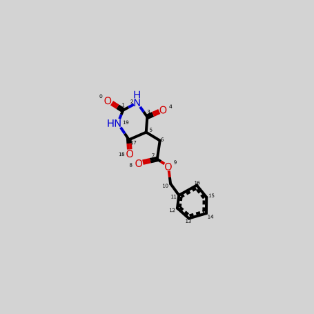 O=C1NC(=O)C(CC(=O)OCc2ccccc2)C(=O)N1